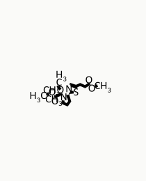 CCOC(C(=O)OC(C)(C)C)N1CCC[C@H]1c1ncc(CCC(=O)OC)s1